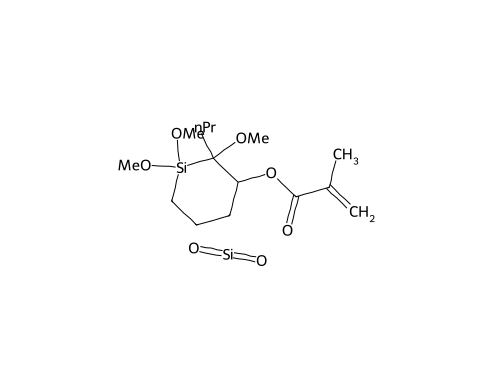 C=C(C)C(=O)OC1CCC[Si](OC)(OC)C1(CCC)OC.O=[Si]=O